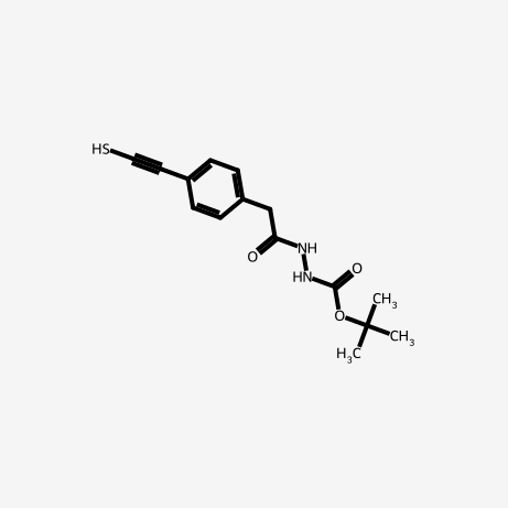 CC(C)(C)OC(=O)NNC(=O)Cc1ccc(C#CS)cc1